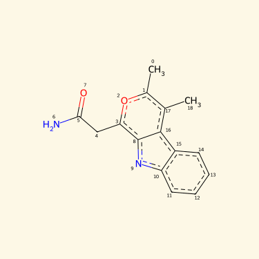 Cc1oc(CC(N)=O)c2nc3ccccc3c-2c1C